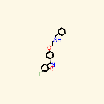 Fc1ccc2c(-c3ccc(OCCNCc4ccccc4)cc3)noc2c1